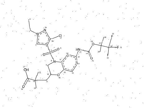 CCn1cc(S(=O)(=O)N2CC(CC(C)(C)C(=O)O)Oc3ccc(NC(=O)OC(C)(C)C(F)(F)F)cc32)c(Cl)n1